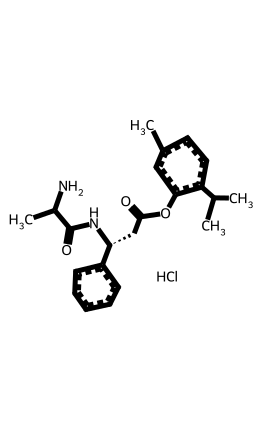 Cc1ccc(C(C)C)c(OC(=O)C[C@@H](NC(=O)C(C)N)c2ccccc2)c1.Cl